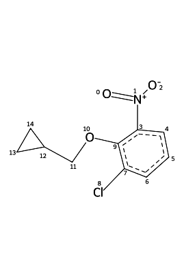 O=[N+]([O-])c1cccc(Cl)c1OCC1CC1